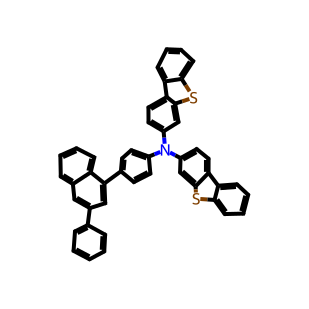 c1ccc(-c2cc(-c3ccc(N(c4ccc5c(c4)sc4ccccc45)c4ccc5c(c4)sc4ccccc45)cc3)c3ccccc3c2)cc1